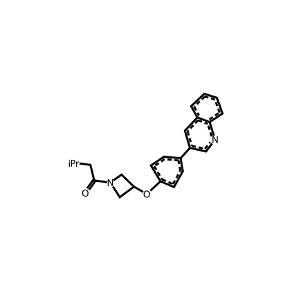 CC(C)CC(=O)N1CC(Oc2ccc(-c3cnc4ccccc4c3)cc2)C1